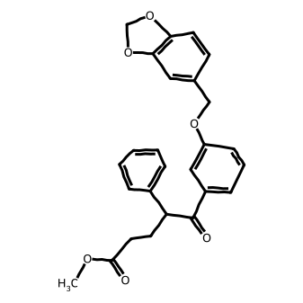 COC(=O)CCC(C(=O)c1cccc(OCc2ccc3c(c2)OCO3)c1)c1ccccc1